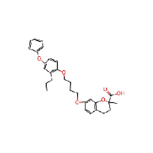 CCCc1cc(Oc2ccccc2)ccc1OCCCCOc1ccc2c(c1)OC(C)(C(=O)O)CC2